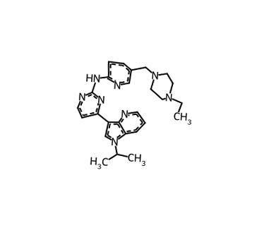 CCN1CCN(Cc2ccc(Nc3nccc(-c4cn(C(C)C)c5cccnc45)n3)nc2)CC1